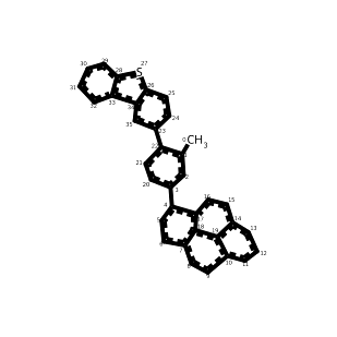 Cc1cc(-c2ccc3ccc4cccc5ccc2c3c45)ccc1-c1ccc2sc3ccccc3c2c1